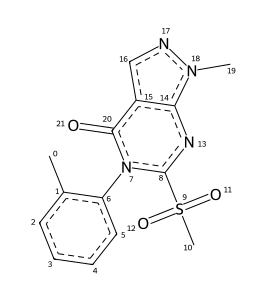 Cc1ccccc1-n1c(S(C)(=O)=O)nc2c(cnn2C)c1=O